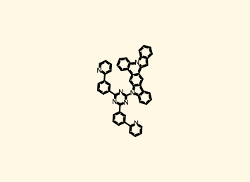 c1ccc(-c2cccc(-c3nc(-c4cccc(-c5ccccn5)c4)nc(-n4c5ccccc5c5cc6c(cc54)c4ccccc4n4c5ccccc5cc64)n3)c2)nc1